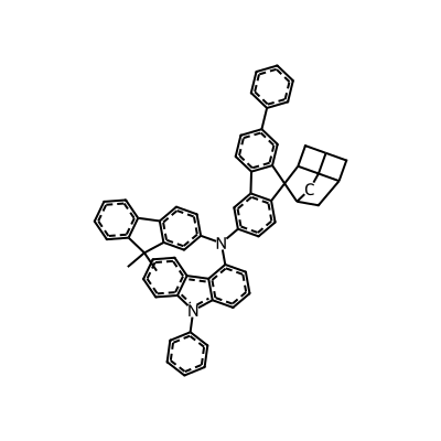 CC1(C)c2ccccc2-c2ccc(N(c3ccc4c(c3)-c3ccc(-c5ccccc5)cc3C43C4CC5CC6CC3C56C4)c3cccc4c3c3ccccc3n4-c3ccccc3)cc21